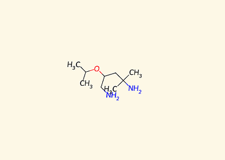 CC(C)OC(CN)CC(C)(C)N